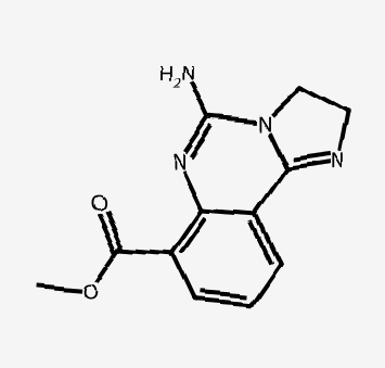 COC(=O)c1cccc2c1N=C(N)N1CCN=C21